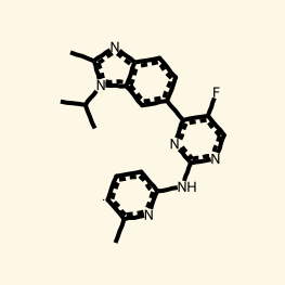 Cc1[c]ccc(Nc2ncc(F)c(-c3ccc4nc(C)n(C(C)C)c4c3)n2)n1